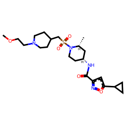 COCCN1CCC(CS(=O)(=O)N2CC[C@@H](NC(=O)c3cc(C4CC4)on3)C[C@H]2C)CC1